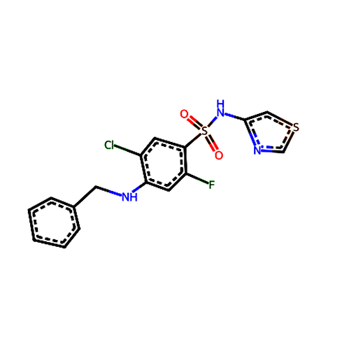 O=S(=O)(Nc1cscn1)c1cc(Cl)c(NCc2ccccc2)cc1F